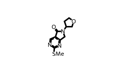 CSc1ncc2c(n1)CN(C1CCOC1)C2=O